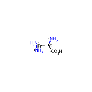 CC(C)[C@H](N)C(=O)O.NN